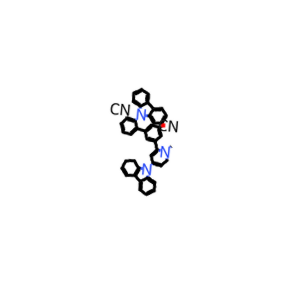 CN1CC=C(n2c3c(c4ccccc42)C=CCC3)C=C1c1cc(C#N)cc(-c2cccc(C#N)c2-n2c3ccccc3c3ccccc32)c1